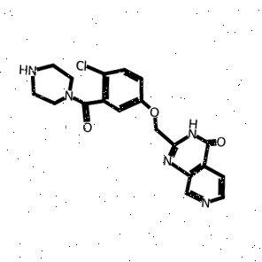 O=C(c1cc(OCc2nc3cnccc3c(=O)[nH]2)ccc1Cl)N1CCNCC1